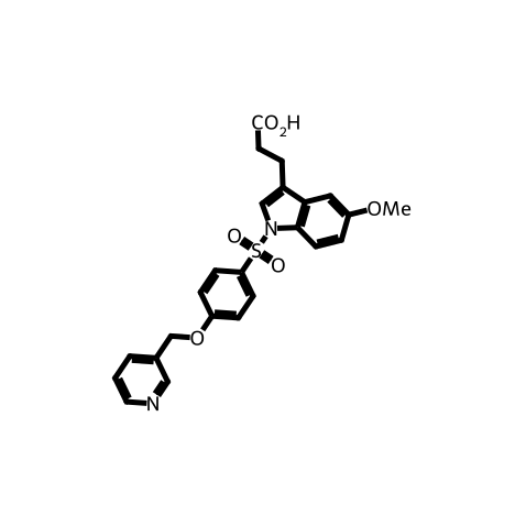 COc1ccc2c(c1)c(CCC(=O)O)cn2S(=O)(=O)c1ccc(OCc2cccnc2)cc1